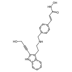 O=C(/C=C/c1ccc(CNCCc2c(C#CCO)[nH]c3ccccc23)cc1)NO